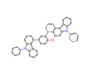 C1=CCCC(n2c3ccccc3c3c4c5c(cc32)Oc2ccc(-c3cccc6c3c3ccccc3n6-c3ccccc3)cc2C5CC=C4)=C1